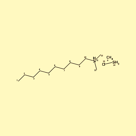 C.CCCCCCCCCC[SiH](C)C.[SiH3]Cl